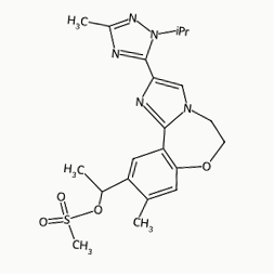 Cc1nc(-c2cn3c(n2)-c2cc(C(C)OS(C)(=O)=O)c(C)cc2OCC3)n(C(C)C)n1